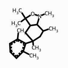 Cc1cccc(C)c1C1(C)CC(C)C2C(C1)C(C)(C)ON2C